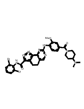 CCc1cccc(CC)c1NC(=O)c1onc2c1CCc1cnc(Nc3ccc(C(=O)N4CCC(N(C)C)CC4)cc3OC)nc1-2